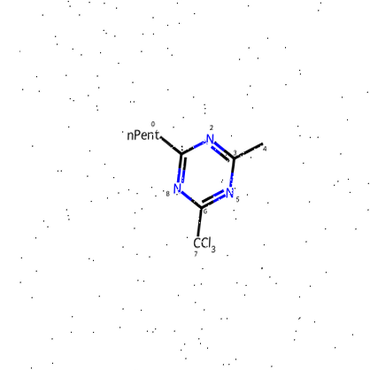 CCCCCc1nc(C)nc(C(Cl)(Cl)Cl)n1